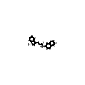 O=C(CCc1c[nH]c2ccccc12)NC1CCc2ccccc2C1